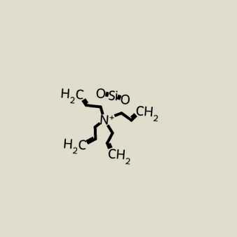 C=CC[N+](CC=C)(CC=C)CC=C.O=[Si]=O